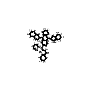 c1ccc(N(c2ccc3c(-c4ccc5ccccc5c4)c4ccccc4c(-c4ccc5ccccc5c4)c3c2)c2ccc3ccccc3n2)nc1